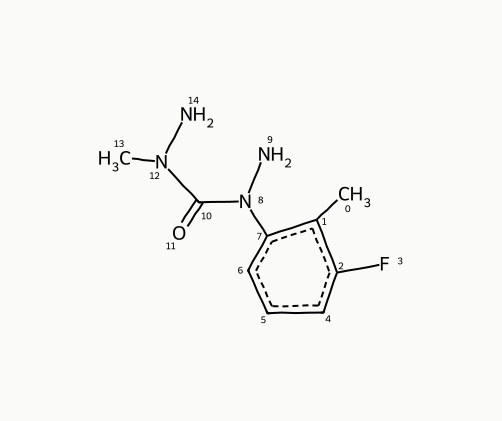 Cc1c(F)cccc1N(N)C(=O)N(C)N